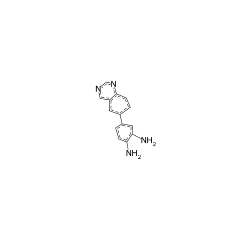 Nc1ccc(-c2ccc3ncncc3c2)cc1N